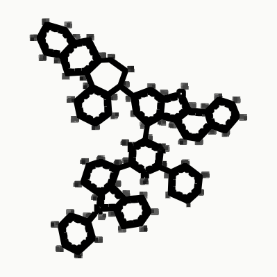 c1ccc(-c2nc(-c3cc(C4CCc5cc6ccccc6cc5-c5ccccc54)cc4oc5c6ccccc6ccc5c34)nc(-c3cccc4c3c3ccccc3n4-c3ccccc3)n2)cc1